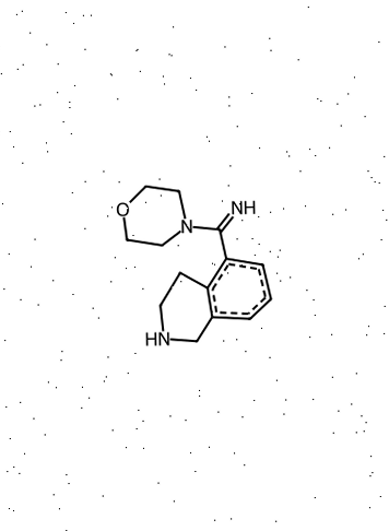 N=C(c1cccc2c1CCNC2)N1CCOCC1